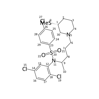 CS[C@@H]1CCCN(CCCC(C)N(c2cc(Cl)ccc2Cl)S(=O)(=O)c2ccc(Cl)cc2)C1